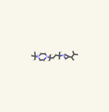 CC(C)C(C)C1CN(C(C)(C)CCC(C)(C)N2CCN(C(C)(C)C)CC2)C1